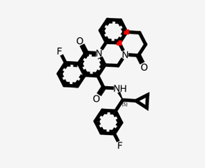 O=C(N[C@H](c1cccc(F)c1)C1CC1)c1c(CN2CCCCC2=O)n(-c2ccccc2)c(=O)c2c(F)cccc12